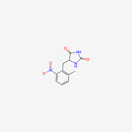 Cc1cccc([N+](=O)[O-])c1CC1NC(=O)NC1=O